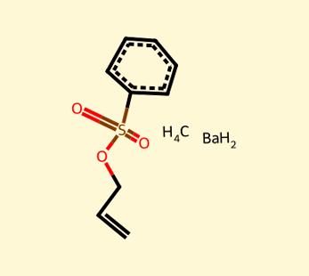 C.C=CCOS(=O)(=O)c1ccccc1.[BaH2]